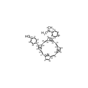 CN(C)c1ccncc1.Oc1ccc(C2=CC3=CC4=NC(=CC5=NC(=CC6=NC(=CC2=N3)C=C6)C=C5)C=C4)cc1